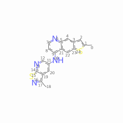 Cc1cc2cc3nccc(Nc4cnc5snc(C)c5c4)c3cc2s1